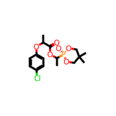 CC(Oc1ccc(Cl)cc1)C(=O)OC(C)P1(=O)OCC(C)(C)CO1